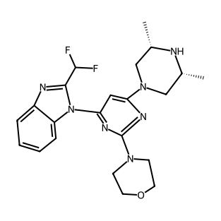 C[C@@H]1CN(c2cc(-n3c(C(F)F)nc4ccccc43)nc(N3CCOCC3)n2)C[C@H](C)N1